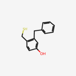 Oc1ccc(CS)c(Cc2ccccc2)c1